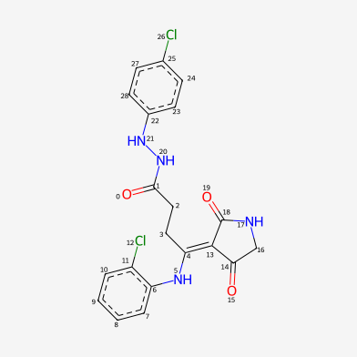 O=C(CCC(Nc1ccccc1Cl)=C1C(=O)CNC1=O)NNc1ccc(Cl)cc1